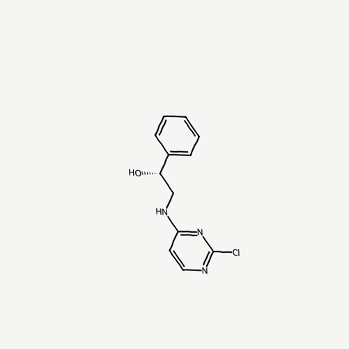 O[C@@H](CNc1ccnc(Cl)n1)c1ccccc1